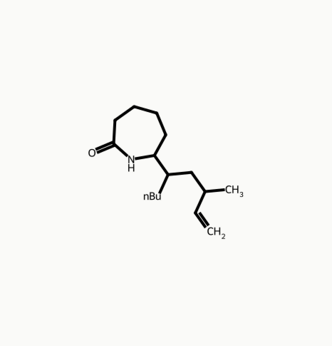 C=CC(C)CC(CCCC)C1CCCCC(=O)N1